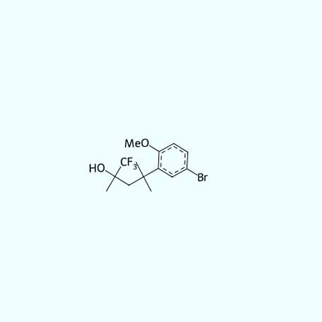 COc1ccc(Br)cc1C(C)(C)CC(C)(O)C(F)(F)F